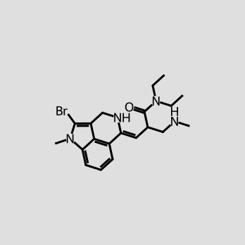 CCN(CC)C(=O)C(/C=C1\NCc2c(Br)n(C)c3cccc1c23)CNC